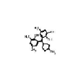 Cc1cc(C)c(O)c(C(c2cc(C)cc(C)c2O)C2CCC(C)CC2)c1